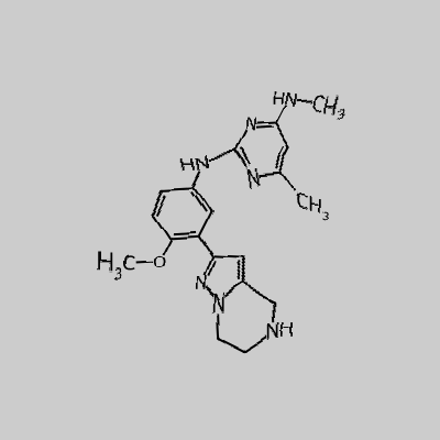 CNc1cc(C)nc(Nc2ccc(OC)c(-c3cc4n(n3)CCNC4)c2)n1